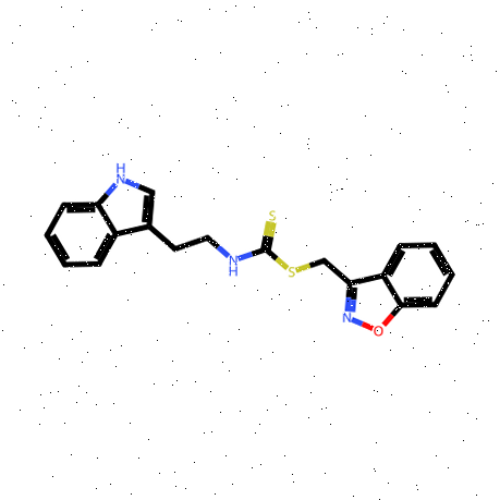 S=C(NCCc1c[nH]c2ccccc12)SCc1noc2ccccc12